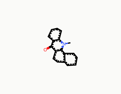 Cn1c2ccccc2c(=O)c2ccc3ccccc3c21